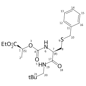 CCOC(=O)[C@H](C)OC(=O)N[C@@H](CSCc1ccccc1)C(=O)NCC(C)(C)C